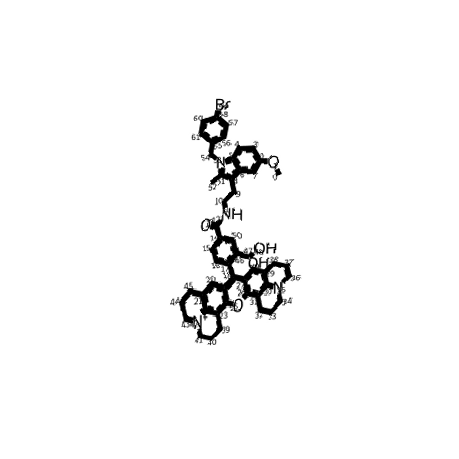 COc1ccc2c(c1)c(CCNC(=O)c1ccc(C3=c4cc5c6c(c4Oc4c3cc3c7c4CCCN7CCC3)CCC[N+]=6CCC5)c(C(O)O)c1)c(C)n2Cc1ccc(Br)cc1